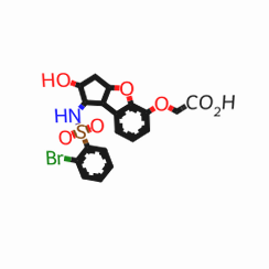 O=C(O)COc1cccc2c1OC1CC(O)C(NS(=O)(=O)c3ccccc3Br)C21